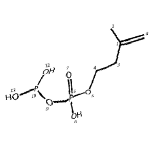 C=C(C)CCOP(=O)(O)OP(O)O